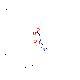 COC(=O)CCCN(CCN(C)C)C(C)=O